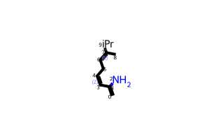 C=C(N)/C=C\C/C=C(\C)C(C)C